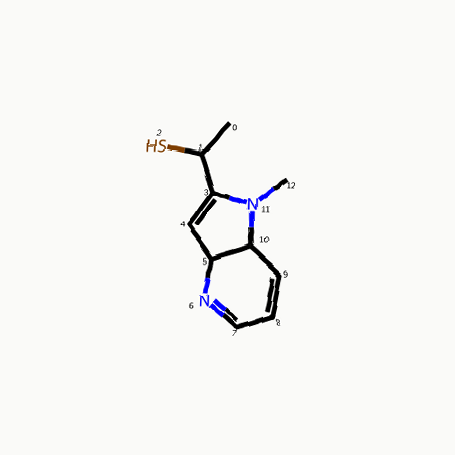 CC(S)C1=CC2N=CC=CC2N1C